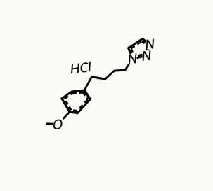 COc1ccc(CCCCn2ccnn2)cc1.Cl